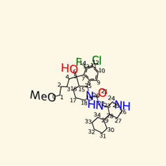 COCCCCC(O)(c1cccc(Cl)c1F)C1CCCN(C(=O)NC2CNCCC2C2CCCCC2)C1